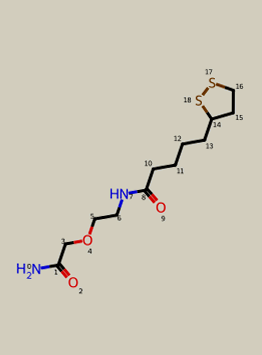 NC(=O)COCCNC(=O)CCCCC1CCSS1